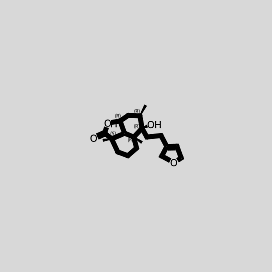 C[C@@H]1C[C@H]2OC(=O)[C@@]3(C)CCC[C@](C)(C23)[C@@]1(O)CCC1=CCOC1